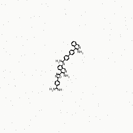 N=C(N)c1ccc(-c2nnc(-c3c(N)ncc4c(/N=C(\N)c5ccc(-c6ccc(-c7c(N)ncc8ccccc78)cc6)cc5)cccc34)o2)cc1